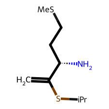 C=C(SC(C)C)[C@@H](N)CCSC